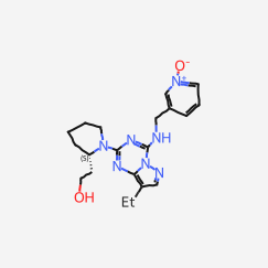 CCc1cnn2c(NCc3ccc[n+]([O-])c3)nc(N3CCCC[C@H]3CCO)nc12